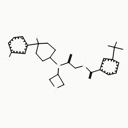 Nc1cccc(C2(O)CCC(N(C(=O)CNC(=O)c3cccc(C(F)(F)F)c3)C3CNC3)CC2)c1